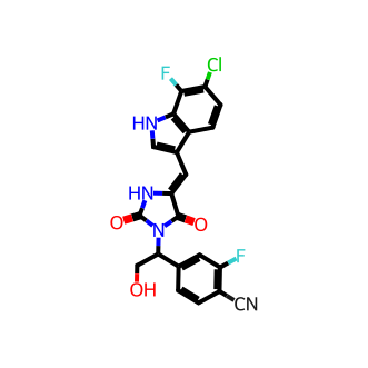 N#Cc1ccc(C(CO)N2C(=O)NC(=Cc3c[nH]c4c(F)c(Cl)ccc34)C2=O)cc1F